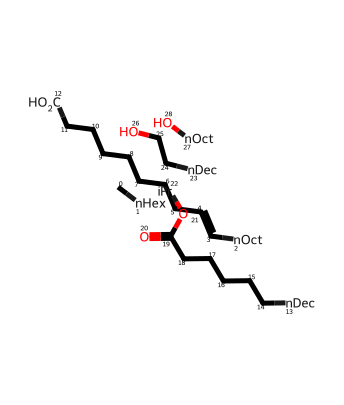 CCCCCCC.CCCCCCCCC=CCCCCCCCC(=O)O.CCCCCCCCCCCCCCCC(=O)OC(C)C.CCCCCCCCCCCCO.CCCCCCCCO